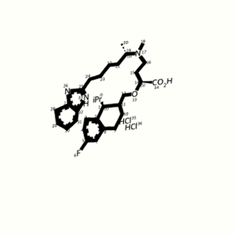 CC(C)[C@@H]1c2ccc(F)cc2CCC1CO[C@@H](CCN(C)[C@@H](C)CCCCc1nc2ccccc2[nH]1)C(=O)O.Cl.Cl